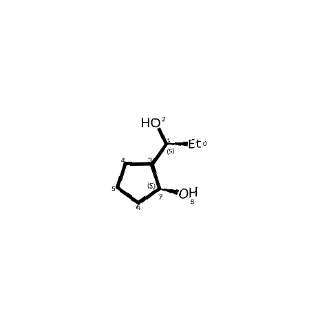 CC[C@H](O)C1CCC[C@@H]1O